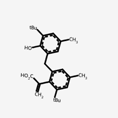 C=C(C(=O)O)c1c(Cc2cc(C)cc(C(C)(C)C)c2O)cc(C)cc1C(C)(C)C